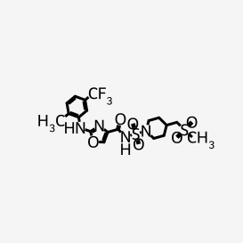 Cc1ccc(C(F)(F)F)cc1Nc1nc(C(=O)NS(=O)(=O)N2CCC(CS(C)(=O)=O)CC2)co1